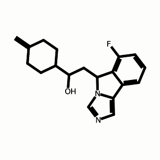 C=C1CCC(C(O)CC2c3c(F)cccc3-c3cncn32)CC1